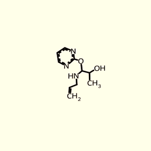 C=CCNC(Oc1ncccn1)C(C)O